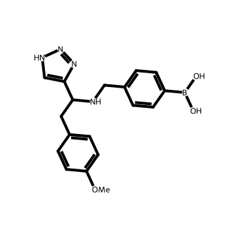 COc1ccc(CC(NCc2ccc(B(O)O)cc2)c2c[nH]nn2)cc1